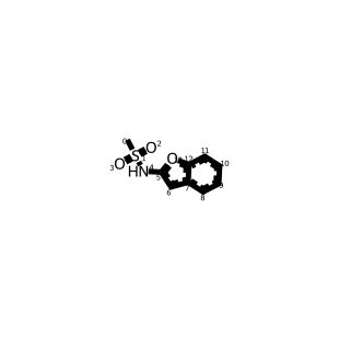 CS(=O)(=O)Nc1cc2ccccc2o1